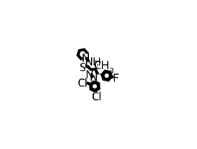 C[C@H]1C(C(=S)NN2CCCCC2)=NN(c2ccc(Cl)cc2Cl)[C@H]1c1ccc(F)cc1